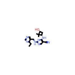 CCc1ncncc1CNc1ncc(C#N)c(N[C@H]2C[C@H](O)C2(C)C)n1